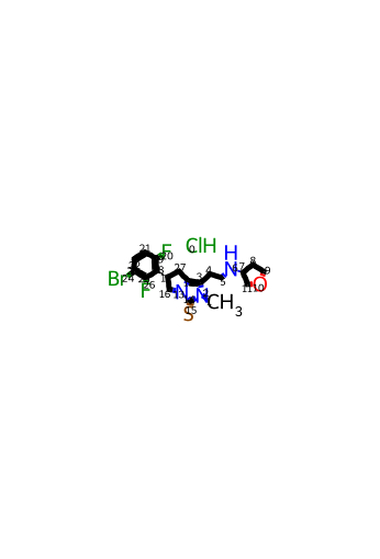 Cl.Cn1c(CCN[C@@H]2CCOC2)c2n(c1=S)C[C@H](c1c(F)ccc(Br)c1F)C2